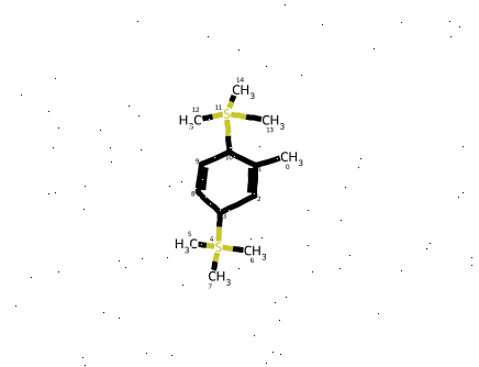 CC1=CC(S(C)(C)C)C=CC1S(C)(C)C